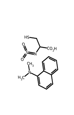 CN(C)c1cccc2ccccc12.O=C(O)C(CS)N=S(=O)=O